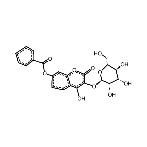 O=C(Oc1ccc2c(O)c(O[C@H]3O[C@H](CO)[C@@H](O)[C@H](O)[C@@H]3O)c(=O)oc2c1)c1ccccc1